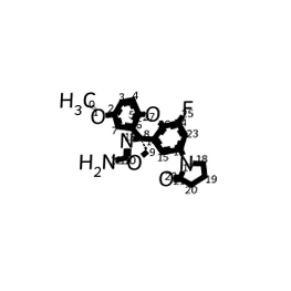 COc1ccc2c(c1)[C@@]1(COC(N)=N1)c1cc(N3CCCC3=O)cc(F)c1O2